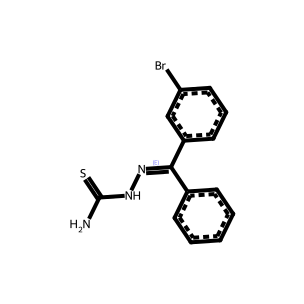 NC(=S)N/N=C(\c1ccccc1)c1cccc(Br)c1